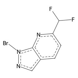 FC(F)c1ccc2cnn(Br)c2n1